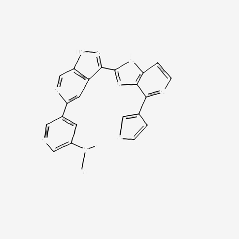 CN(C)c1cncc(-c2cc3c(-c4nc5c(-c6ccoc6)nccc5[nH]4)n[nH]c3cn2)c1